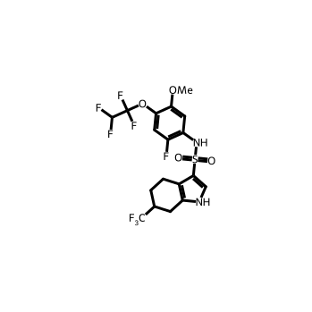 COc1cc(NS(=O)(=O)c2c[nH]c3c2CCC(C(F)(F)F)C3)c(F)cc1OC(F)(F)C(F)F